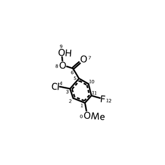 COc1cc(Cl)c(C(=O)OO)cc1F